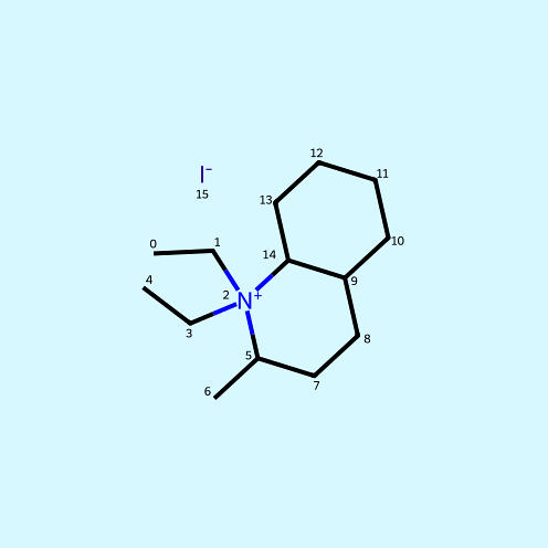 CC[N+]1(CC)C(C)CCC2CCCCC21.[I-]